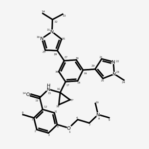 Cc1ccc(OCCN(C)C)cc1C(=O)NC1(c2cc(-c3cnn(C)c3)cc(-c3cnn(C(C)C)c3)c2)CC1